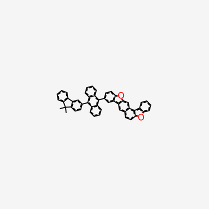 CC1(C)c2ccccc2-c2cc(-c3c4ccccc4c(-c4ccc5oc6cc7c(ccc8oc9ccccc9c87)cc6c5c4)c4ccccc34)ccc21